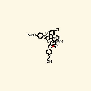 COc1ccc(S(=O)(=O)N2C(=O)C(c3cc(CN4CCN(CCO)CC4)ccc3OC)(N3CCC[C@H]3c3ncc(C)o3)c3cc(Cl)ccc32)cc1